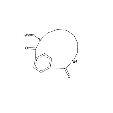 CCCCCN1CCCCCCNC(=O)c2ccc(cc2)C1=O